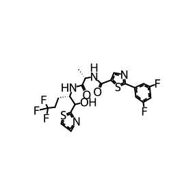 C[C@H](NC(=O)c1cnc(-c2cc(F)cc(F)c2)s1)C(=O)N[C@@H](CCC(F)(F)F)C(O)c1nccs1